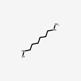 NNCCCCCCNS